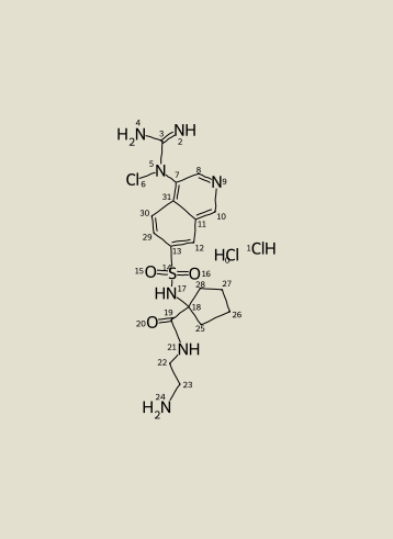 Cl.Cl.N=C(N)N(Cl)c1cncc2cc(S(=O)(=O)NC3(C(=O)NCCN)CCCC3)ccc12